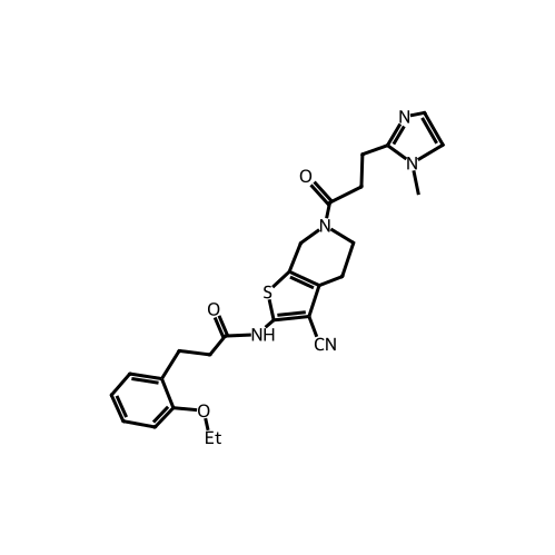 CCOc1ccccc1CCC(=O)Nc1sc2c(c1C#N)CCN(C(=O)CCc1nccn1C)C2